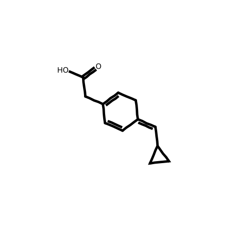 O=C(O)CC1=CCC(=CC2CC2)C=C1